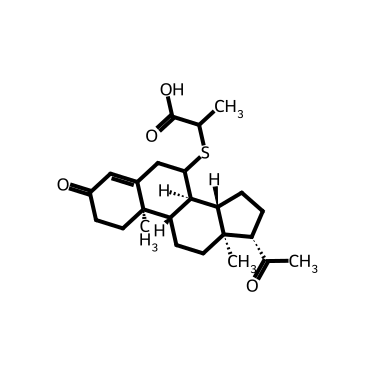 CC(=O)[C@H]1CC[C@H]2[C@@H]3C(SC(C)C(=O)O)CC4=CC(=O)CC[C@]4(C)[C@H]3CC[C@]12C